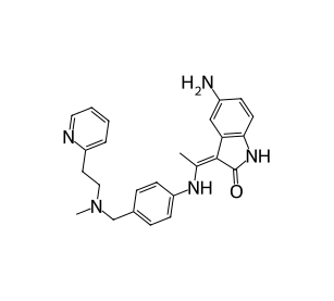 C/C(Nc1ccc(CN(C)CCc2ccccn2)cc1)=C1/C(=O)Nc2ccc(N)cc21